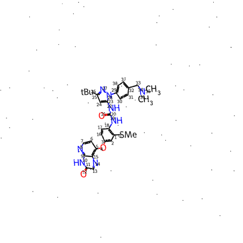 CSc1cc(Oc2ccnc3[nH]c(=O)cnc23)ccc1NC(=O)Nc1cc(C(C)(C)C)nn1-c1ccc(CN(C)C)cc1